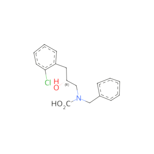 O=C(O)N(Cc1ccccc1)C[C@H](O)Cc1ccccc1Cl